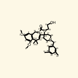 COc1cc2c(c(OC)c1)C(C)(C)C=C1N(C2)C(=O)N(CCO)C12CCN(Cc1cc(C)cc(C)c1)CC2